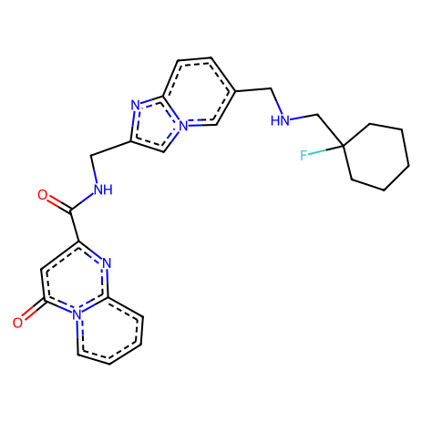 O=C(NCc1cn2cc(CNCC3(F)CCCCC3)ccc2n1)c1cc(=O)n2ccccc2n1